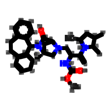 C=C(C(CN1C[C@@H]2CC1C(=O)N2C1C2=C(C=CCC2)CCc2ccccc21)NC(=O)OC(C)(C)C)N1C(C#N)CC(C)C1C